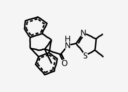 CC1N=C(NC(=O)C2(C)CC3c4ccccc4C2c2ccccc23)SC1C